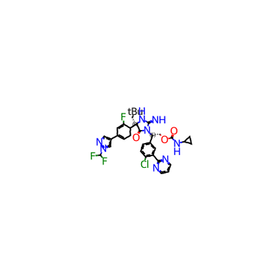 CC(C)(C)C[C@]1(C2CC=C(c3cnn(C(F)F)c3)C=C2F)NC(=N)N([C@H](COC(=O)NC2CC2)c2ccc(Cl)c(-c3ncccn3)c2)C1=O